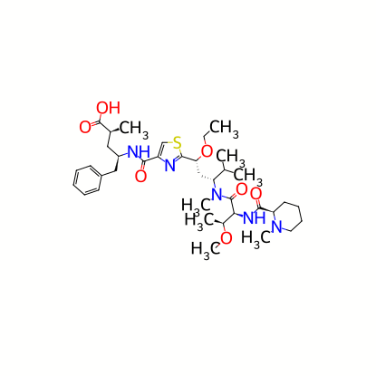 CCO[C@H](C[C@H](C(C)C)N(C)C(=O)[C@@H](NC(=O)[C@H]1CCCCN1C)[C@H](C)OC)c1nc(C(=O)N[C@@H](Cc2ccccc2)C[C@H](C)C(=O)O)cs1